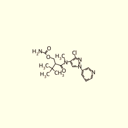 CN(C(=O)C(COC(N)=O)C(C)(C)C)c1cn(-c2cccnc2)nc1Cl